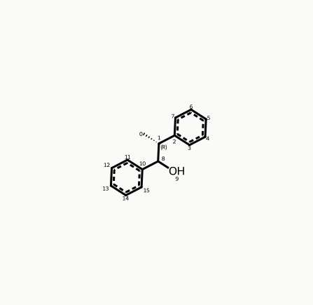 C[C@H](c1ccccc1)C(O)c1ccccc1